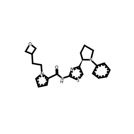 O=C(Nc1nc([C@H]2CCCN2c2ccccc2)cs1)c1cccn1CCC1COC1